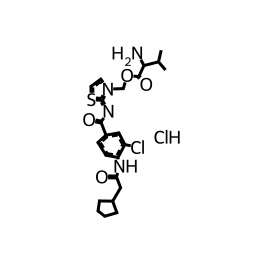 CC(C)C(N)C(=O)OCn1ccsc1=NC(=O)c1ccc(NC(=O)CC2CCCC2)c(Cl)c1.Cl